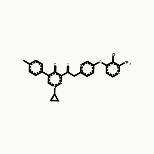 Cc1ccc(-c2cn(C3CC3)nc(C(=O)Cc3ccc(Oc4ccnc(N)c4Cl)cn3)c2=O)cc1